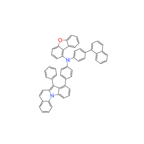 c1ccc(-c2c3c(-c4ccc(N(c5ccc(-c6cccc7ccccc67)cc5)c5cccc6oc7ccccc7c56)cc4)cccc3n3c2ccc2ccccc23)cc1